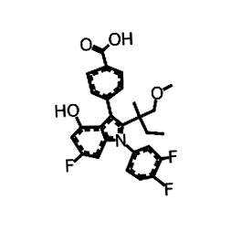 CCC(C)(COC)c1c(-c2ccc(C(=O)O)cc2)c2c(O)cc(F)cc2n1-c1ccc(F)c(F)c1